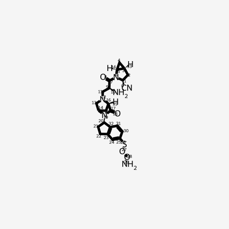 N#C[C@@H]1C[C@@H]2C[C@@H]2N1C(=O)[C@@H](N)CN1CC2C[C@H]1C(=O)N2[C@H]1CCc2cc(SOON)ccc21